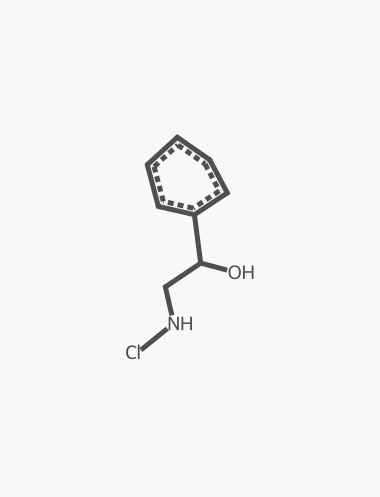 OC(CNCl)c1ccccc1